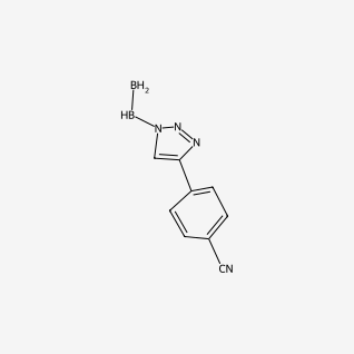 BBn1cc(-c2ccc(C#N)cc2)nn1